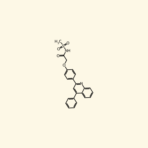 CS(=O)(=O)NC(=O)COc1ccc(-c2cc(-c3ccccc3)c3ccccc3n2)cc1